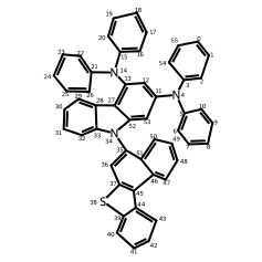 c1ccc(N(c2ccccc2)c2cc(N(c3ccccc3)c3ccccc3)c3c4ccccc4n(-c4cc5sc6ccccc6c5c5ccccc45)c3c2)cc1